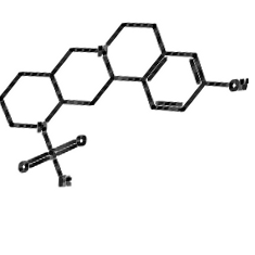 CCS(=O)(=O)N1CCCC2CN3CCc4cc(OC)ccc4C3CC21